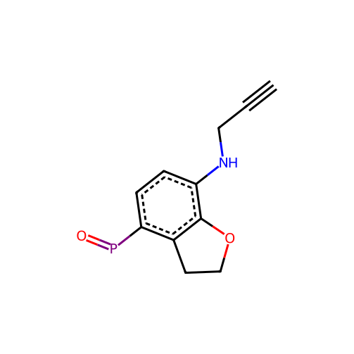 C#CCNc1ccc(P=O)c2c1OCC2